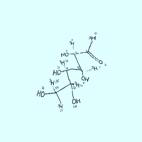 [3H]C(=O)[C@]([3H])(O)[C@@]([3H])(O)[C@]([3H])(O)[C@]([3H])(O)C([3H])([3H])O